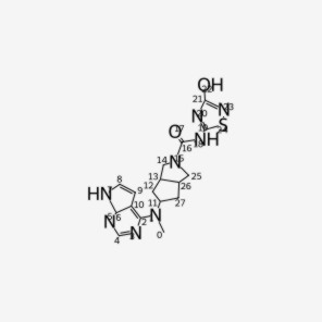 CN(c1ncnc2[nH]ccc12)C1CC2CN(C(=O)Nc3nc(O)ns3)CC2C1